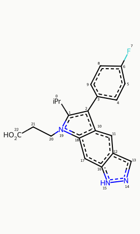 CC(C)c1c(-c2ccc(F)cc2)c2cc3cn[nH]c3cc2n1CCC(=O)O